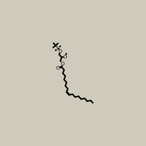 CCCCCCCC/C=C\CCCCCCCC(=O)OCC(CO[Si](C)(C)C(C)(C)C)OC